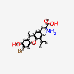 CC(C)c1cc(CC(N)C(=O)O)cc(C(C)C)c1Oc1ccc(O)c(Br)c1